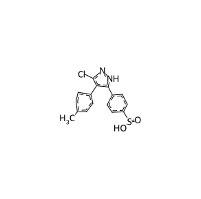 Cc1ccc(-c2c(Cl)n[nH]c2-c2ccc(S(=O)O)cc2)cc1